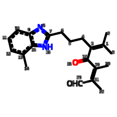 CC(C)=C(CCCc1nc2cccc(C)c2[nH]1)C(=O)/C(C)=C(/C)C=O